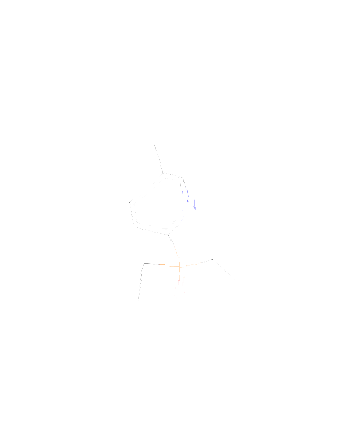 CCP(=O)(CC)c1ccc(C)cn1